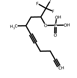 C#CCCC#CC(C)CC(OP(=O)(O)O)C(F)(F)F